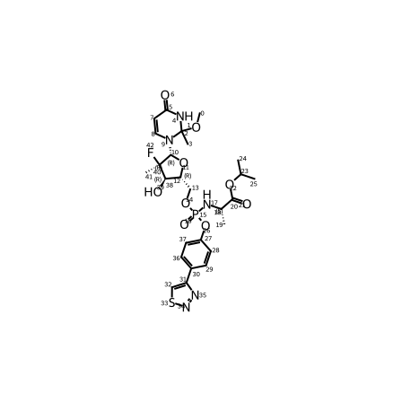 COC1(C)NC(=O)C=CN1[C@@H]1O[C@H](COP(=O)(N[C@@H](C)C(=O)OC(C)C)Oc2ccc(-c3csnn3)cc2)[C@@H](O)[C@@]1(C)F